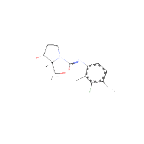 Cc1c(N=C2O[C@@H](C(F)(F)F)[C@@H]3[C@@H](O)CCN23)ccc(C#N)c1Cl